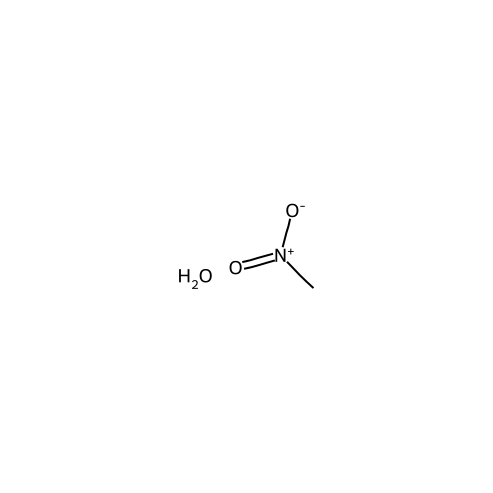 C[N+](=O)[O-].O